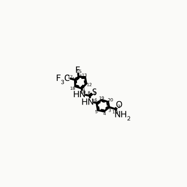 NC(=O)c1ccc(NC(=S)Nc2ccc(F)c(C(F)(F)F)c2)cc1